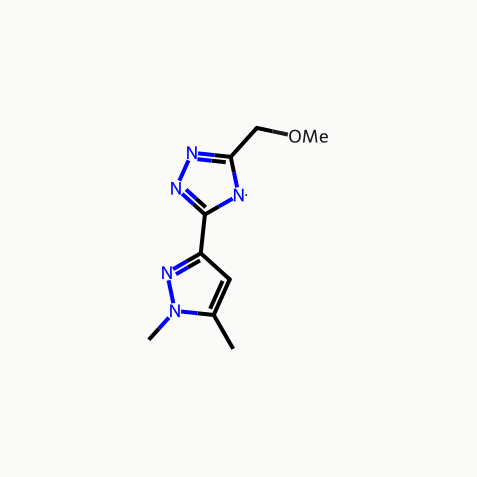 COCC1=NN=C(c2cc(C)n(C)n2)[N]1